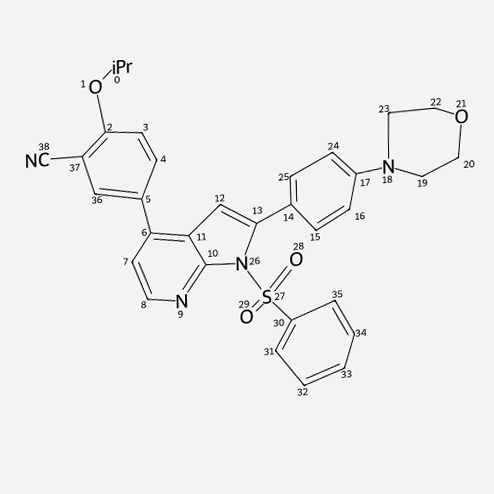 CC(C)Oc1ccc(-c2ccnc3c2cc(-c2ccc(N4CCOCC4)cc2)n3S(=O)(=O)c2ccccc2)cc1C#N